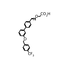 O=C(O)CO/N=C/c1ccc(-c2cccc(OCc3ccc(C(F)(F)F)cc3)c2)cc1